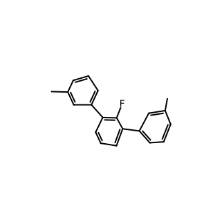 Cc1cccc(-c2cccc(-c3cccc(C)c3)c2F)c1